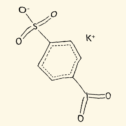 O=I(=O)c1ccc(S(=O)(=O)[O-])cc1.[K+]